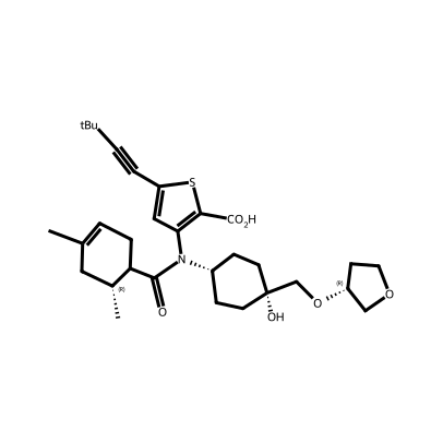 CC1=CCC(C(=O)N(c2cc(C#CC(C)(C)C)sc2C(=O)O)[C@H]2CC[C@](O)(CO[C@@H]3CCOC3)CC2)[C@H](C)C1